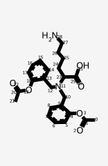 CC(=O)Oc1ccccc1CN(Cc1ccccc1OC(C)=O)C(CCCCN)C(=O)O